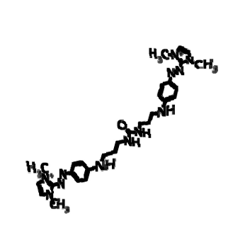 Cn1cc[n+](C)c1/N=N/c1ccc(NCCCNC(=O)NCCCNc2ccc(/N=N/c3n(C)cc[n+]3C)cc2)cc1